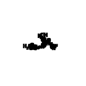 CS(=O)(=O)c1ccc(/C=C/CN2CCc3c(c4cc(C#N)ccc4n3C(=O)NCc3ccnc(F)c3)C2)cc1.Cl